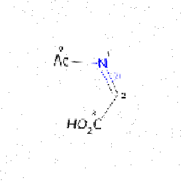 CC(=O)/N=C\C(=O)O